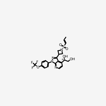 CC=CS(=O)(=O)N1CC(c2nn(-c3ccc(OC(F)(F)F)cc3)c3nccc([C@@H](O)CO)c23)C1